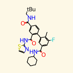 Cc1c(F)cc(C(=O)NC2CCCCC2)cc1-c1ccc(C(=O)NCC(C)(C)C)cc1C(=O)Nc1nccs1